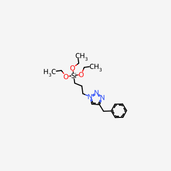 CCO[Si](CCCn1cc(Cc2ccccc2)nn1)(OCC)OCC